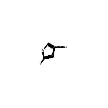 Fc1cc(Br)cs1